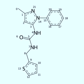 Cc1cc(NC(=O)NCc2cccs2)n(-c2ccccc2)n1